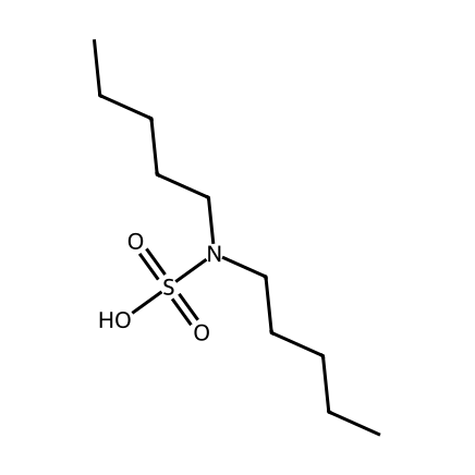 CCCCCN(CCCCC)S(=O)(=O)O